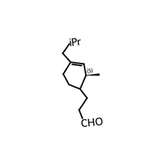 CC(C)CC1=C[C@@H](C)C(CCC=O)CC1